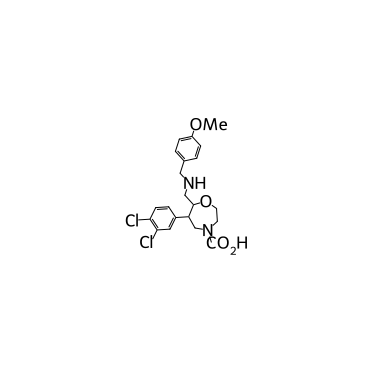 COc1ccc(CNCC2OCCN(C(=O)O)CC2c2ccc(Cl)c(Cl)c2)cc1